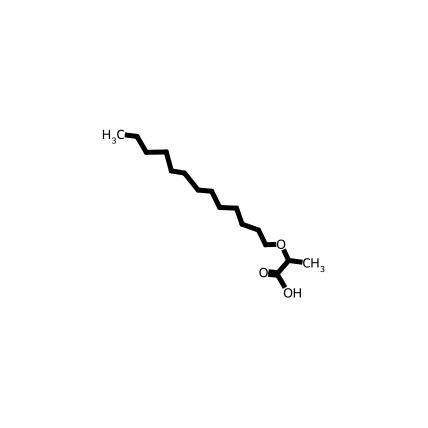 CCCCCCCCCCCCCOC(C)C(=O)O